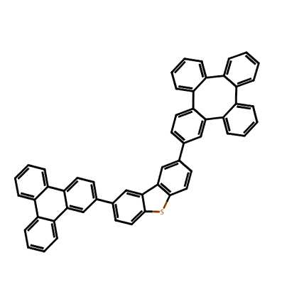 c1ccc2c(c1)-c1ccccc1-c1ccc(-c3ccc4sc5ccc(-c6ccc7c8ccccc8c8ccccc8c7c6)cc5c4c3)cc1-c1ccccc1-2